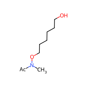 CC(=O)N(C)OCCCCCCO